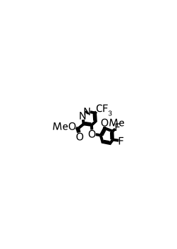 COC(=O)c1nnc(C(F)(F)F)cc1Oc1ccc(F)c(F)c1OC